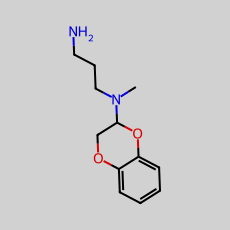 CN(CCCN)C1COc2ccccc2O1